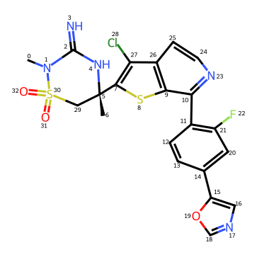 CN1C(=N)N[C@](C)(c2sc3c(-c4ccc(-c5cnco5)cc4F)nccc3c2Cl)CS1(=O)=O